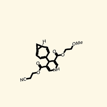 COCCOC(=O)C1=CNC=C(C(=O)OCCC#N)C1C1=CC=C2C[C@H]2C=C1